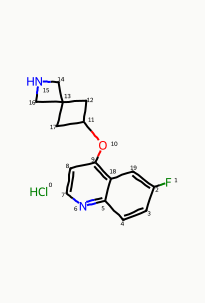 Cl.Fc1ccc2nccc(OC3CC4(CNC4)C3)c2c1